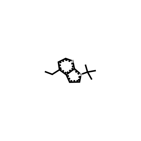 CCc1ccnc2c1ccn2C(C)(C)C